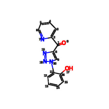 O=C(c1ccccn1)c1cn(-c2ccccc2O)nn1